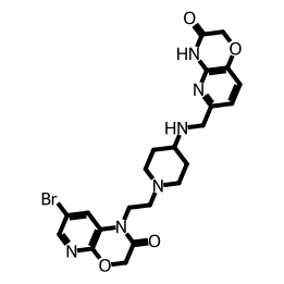 O=C1COc2ccc(CNC3CCN(CCN4C(=O)COc5ncc(Br)cc54)CC3)nc2N1